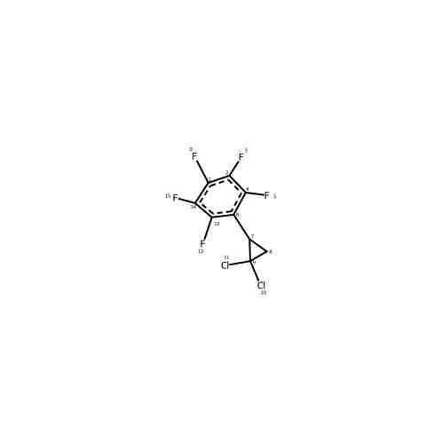 Fc1c(F)c(F)c(C2CC2(Cl)Cl)c(F)c1F